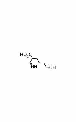 N=CC(CCCCO)C(=O)O